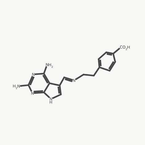 Nc1nc(N)c2c(C=NCCc3ccc(C(=O)O)cc3)c[nH]c2n1